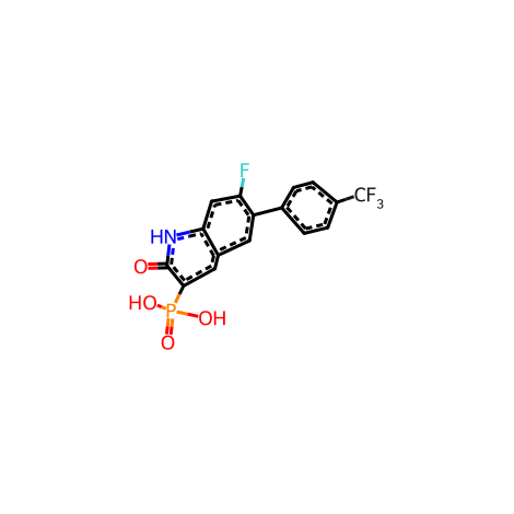 O=c1[nH]c2cc(F)c(-c3ccc(C(F)(F)F)cc3)cc2cc1P(=O)(O)O